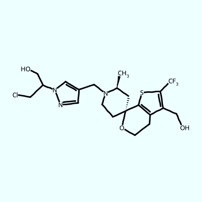 C[C@H]1C[C@@]2(CCN1Cc1cnn(C(CO)CCl)c1)OCCc1c2sc(C(F)(F)F)c1CO